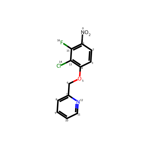 O=[N+]([O-])c1ccc(OCc2ccccn2)c(Cl)c1F